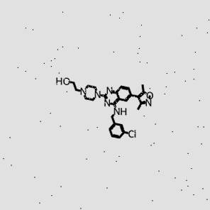 Cc1noc(C)c1-c1ccc2nc(N3CCN(CCO)CC3)nc(NCc3cccc(Cl)c3)c2c1